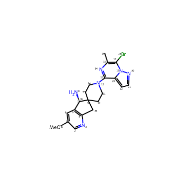 COc1cnc2c(c1)[C@@H](N)C1(CCN(c3nc(C)c(Br)n4nccc34)CC1)C2